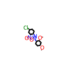 COc1ccc(/N=N/c2ccc(Cl)cc2[N+](=O)[O-])c(OC)c1